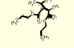 CCCOC(=O)C(C)=C(C(=O)OCCC)C(C)C